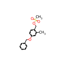 Cc1cc(OCc2ccccc2)ccc1COS(C)(=O)=O